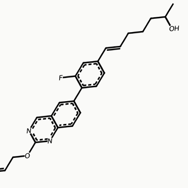 C=CCOc1ncc2cc(-c3ccc(C=CCCCC(C)O)cc3F)ccc2n1